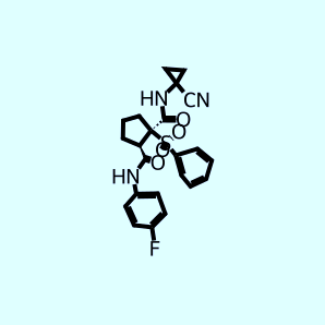 N#CC1(NC(=O)[C@@]2(S(=O)(=O)c3ccccc3)CCC[C@@H]2C(=O)Nc2ccc(F)cc2)CC1